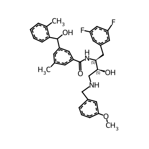 COc1cccc(CNC[C@H](O)[C@H](Cc2cc(F)cc(F)c2)NC(=O)c2cc(C)cc(C(O)c3ccccc3C)c2)c1